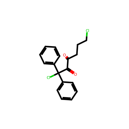 O=C(CCCCl)C(=O)C(Cl)(c1ccccc1)c1ccccc1